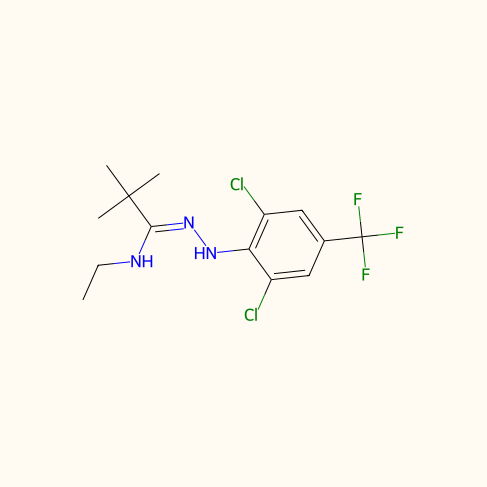 CCNC(=NNc1c(Cl)cc(C(F)(F)F)cc1Cl)C(C)(C)C